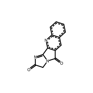 O=C1CN2C(=O)c3cc4ccccc4nc3C2=N1